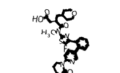 CN(C(=O)[C@@H](CC(=O)O)CC1CCOCC1)c1nc(-c2ccccc2-c2ccc(N3CCCCC3=O)nc2)c(F)s1